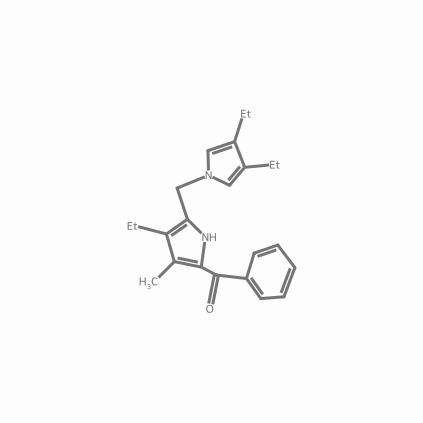 CCc1cn(Cc2[nH]c(C(=O)c3ccccc3)c(C)c2CC)cc1CC